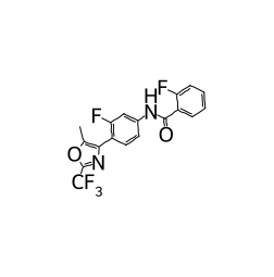 Cc1oc(C(F)(F)F)nc1-c1ccc(NC(=O)c2ccccc2F)cc1F